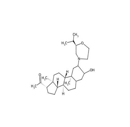 CC(=O)[C@H]1CC[C@H]2[C@@H]3CCC4CC(O)C(N5CCO[C@H](C(C)C)C5)C[C@]4(C)[C@H]3CC[C@]12C